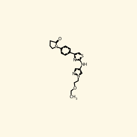 CCOCCn1cc(Nc2nc(-c3ccc(N4CCCC4=O)cc3)cs2)cn1